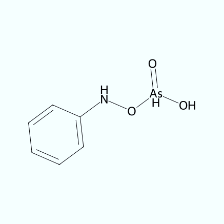 O=[AsH](O)ONc1ccccc1